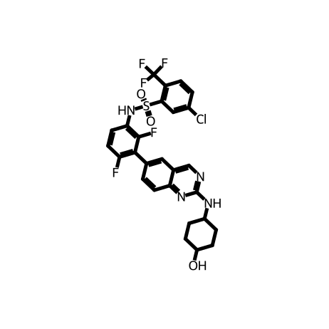 O=S(=O)(Nc1ccc(F)c(-c2ccc3nc(NC4CCC(O)CC4)ncc3c2)c1F)c1cc(Cl)ccc1C(F)(F)F